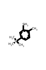 Cc1ccc([Si](C)(C)C)cc1[SiH3]